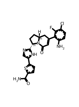 NC(=O)c1ccc(-c2cnc([C@@H]3CC[C@@H]4CC(c5c(N)ccc(Cl)c5F)=CC(=O)N43)[nH]2)s1